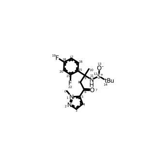 Cn1nccc1C(=O)CC(C)(N[S+]([O-])C(C)(C)C)c1ccc(F)cc1F